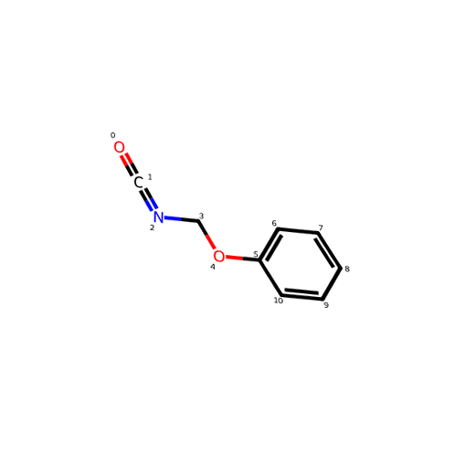 O=C=NCOc1ccccc1